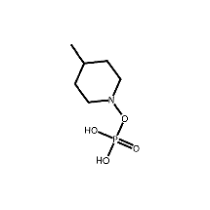 CC1CCN(OP(=O)(O)O)CC1